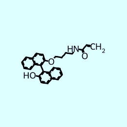 C=CC(=O)NCCCCOc1ccc2ccccc2c1-c1c(O)ccc2ccccc12